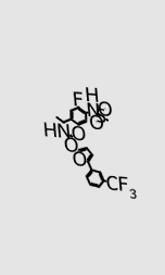 CC(NC(=O)Oc1ccc(-c2cccc(C(F)(F)F)c2)o1)c1ccc(NS(C)(=O)=O)c(F)c1